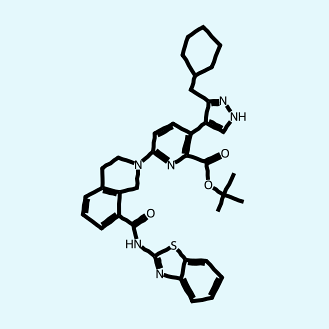 CC(C)(C)OC(=O)c1nc(N2CCc3cccc(C(=O)Nc4nc5ccccc5s4)c3C2)ccc1-c1c[nH]nc1CC1CCCCC1